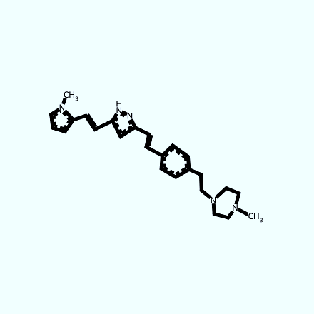 CN1CCN(CCc2ccc(C=Cc3cc(C=Cc4cccn4C)[nH]n3)cc2)CC1